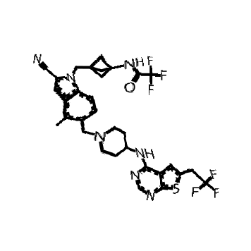 Cc1c(CN2CCC(Nc3ncnc4sc(CC(F)(F)F)cc34)CC2)ccc2c1cc(C#N)n2CC12CC(NC(=O)C(F)(F)F)(C1)C2